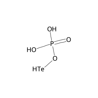 O=P(O)(O)O[TeH]